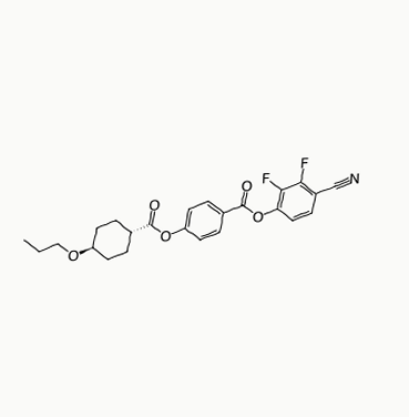 CCCO[C@H]1CC[C@H](C(=O)Oc2ccc(C(=O)Oc3ccc(C#N)c(F)c3F)cc2)CC1